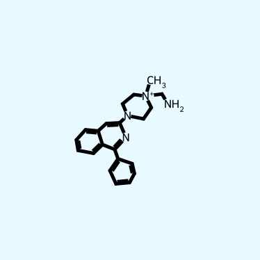 C[N+]1(CN)CCN(c2cc3ccccc3c(-c3ccccc3)n2)CC1